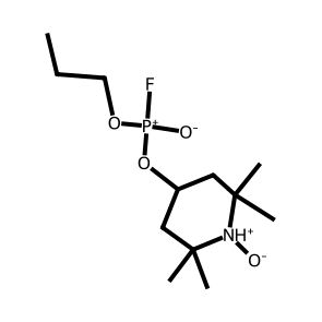 CCCO[P+]([O-])(F)OC1CC(C)(C)[NH+]([O-])C(C)(C)C1